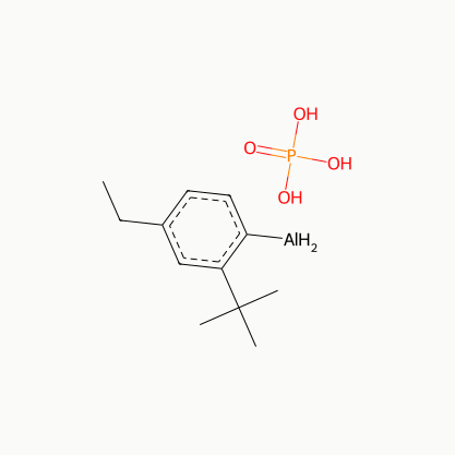 CCc1cc[c]([AlH2])c(C(C)(C)C)c1.O=P(O)(O)O